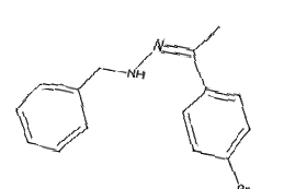 CC(=NNCc1ccccc1)c1ccc(Br)cc1